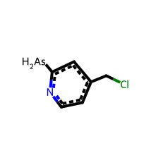 ClCc1ccnc([AsH2])c1